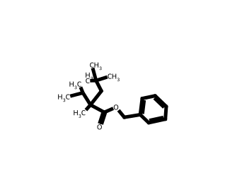 CC(C)C(C)(CC(C)(C)C)C(=O)OCc1ccccc1